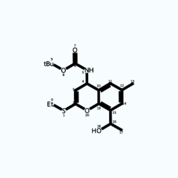 CCSC1=CC(NC(=O)OC(C)(C)C)c2cc(C)cc(C(C)O)c2O1